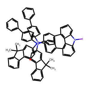 CC1(C)c2ccccc2-c2ccc(N(c3ccc(-c4ccccc4)cc3)c3ccc(-c4cccc5c4c4c(-c6ccc(N(c7ccc(-c8ccccc8)cc7)c7ccc8c(c7)C(C)(C)c7ccccc7-8)cc6)cccc4n5I)cc3)cc21